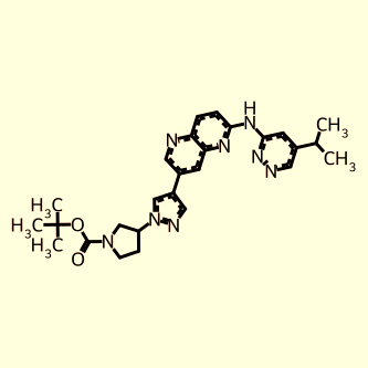 CC(C)c1cnnc(Nc2ccc3ncc(-c4cnn(C5CCN(C(=O)OC(C)(C)C)C5)c4)cc3n2)c1